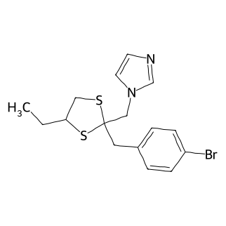 CCC1CSC(Cc2ccc(Br)cc2)(Cn2ccnc2)S1